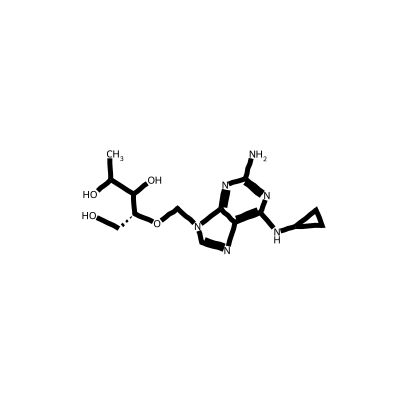 CC(O)C(O)[C@@H](CO)OCn1cnc2c(NC3CC3)nc(N)nc21